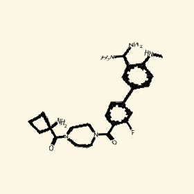 CNc1ccc(-c2ccc(C(=O)N3CCN(C(=O)C4(N)CCC4)CC3)c(F)c2)cc1C(N)N